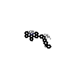 C/C=c1/c(-c2cccc3ccccc23)c2ccccc2c(-c2ccc(-c3ccc4c(c3)-c3cc5cc6oc7ccccc7c6cc5cc3C4(C)C)c3ccccc23)/c1=C/C